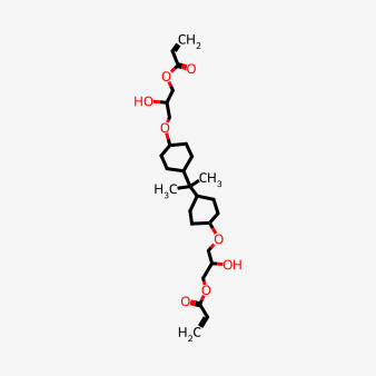 C=CC(=O)OCC(O)COC1CCC(C(C)(C)C2CCC(OCC(O)COC(=O)C=C)CC2)CC1